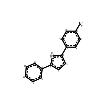 Brc1ccc(-c2ccc(-c3ccccc3)[nH]2)cc1